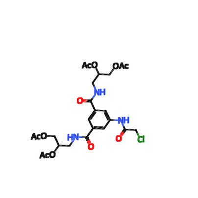 CC(=O)OCC(CNC(=O)c1cc(NC(=O)CCl)cc(C(=O)NCC(COC(C)=O)OC(C)=O)c1)OC(C)=O